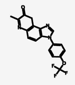 CC1=Nc2ccc3c(ncn3-c3ccc(OC(F)(F)F)cc3)c2CC1=O